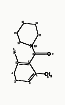 CC1=CCCC(F)=C1C(=O)N1CCCCC1